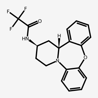 O=C(N[C@@H]1CCN2c3ccccc3Oc3ccccc3[C@H]2C1)C(F)(F)F